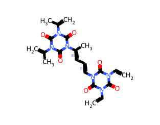 C=Cn1c(=O)n(C=C)c(=O)n(/C=C/C=C(\C)n2c(=O)n(C(=C)C)c(=O)n(C(=C)C)c2=O)c1=O